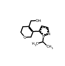 CC(C)n1nccc1C1=C(CO)CCOC1